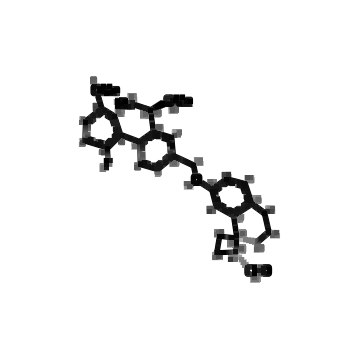 COc1ccc(F)c(-c2ccc(COc3ccc4c(c3)[C@]3(CCC4)CC[C@H]3C=O)cc2[C@H](OC)C(C)(C)C)c1